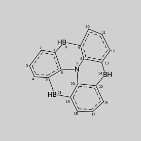 B1c2cccc3c2N2c4c1cccc4Bc1cccc(c12)B3